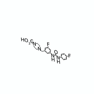 O=C(Nc1ccc(F)cc1)Nc1cc(F)cc(CN2CCN(C(=O)O)CC2)c1